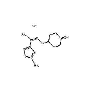 Nc1nc(C(=NOC2CCC(=O)CC2)C(=O)[O-])cs1.[Na+]